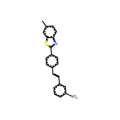 Cc1ccc2nc(-c3ccc(/C=C/c4cccc([N+](=O)[O-])c4)cc3)sc2c1